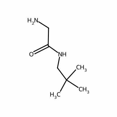 CC(C)(C)CNC(=O)CN